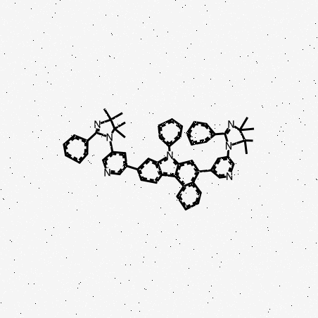 CC1(C)N=C(c2ccccc2)N(c2cncc(-c3ccc4c5c6ccccc6c(-c6cncc(N7C(c8ccccc8)=NC(C)(C)C7(C)C)c6)cc5n(-c5ccccc5)c4c3)c2)C1(C)C